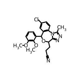 COc1cccc(C2OC(CCC#N)c3nnc(C)n3-c3ccc(Cl)cc32)c1OC